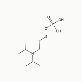 CC(C)N(CCSOP(=O)(O)O)C(C)C